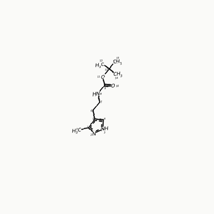 Cc1n[nH]cc1CCNC(=O)OC(C)(C)C